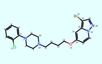 Clc1ccccc1N1CCN(CCCCOc2ccn3ncc(Br)c3c2)CC1